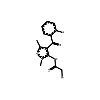 Cc1nn(C)c(NC(=O)CBr)c1C(=O)c1ccccc1F